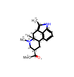 COC(=O)[C@@H]1CC2c3cccc4[nH]c(C)c(c34)C[C@H]2N(C#N)C1